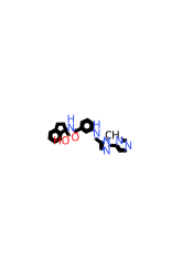 Cn1c(CNc2cccc(C(=O)NC3(CO)CCc4ccccc43)c2)cnc1-c1ccncn1